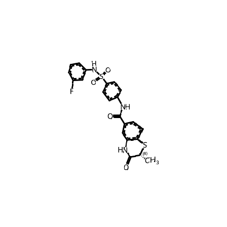 C[C@H]1Sc2ccc(C(=O)Nc3ccc(S(=O)(=O)Nc4cccc(F)c4)cc3)cc2NC1=O